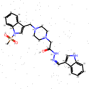 CS(=O)(=O)n1cc(CN2CCN(CC(=O)N/N=C\c3c[nH]c4ccccc34)CC2)c2ccccc21